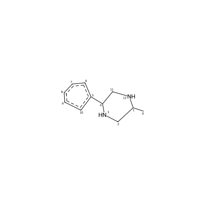 CC1CNC(c2ccccc2)CN1